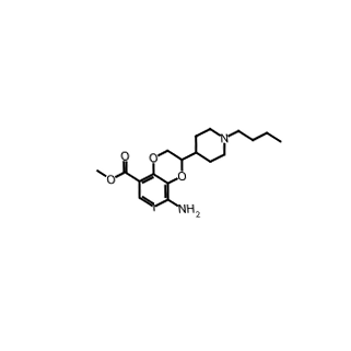 CCCCN1CCC(C2COC3=C(C(=O)OC)C=IC(N)=C3O2)CC1